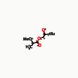 COC(C)C(=O)OCC(=O)C(C)(C)C